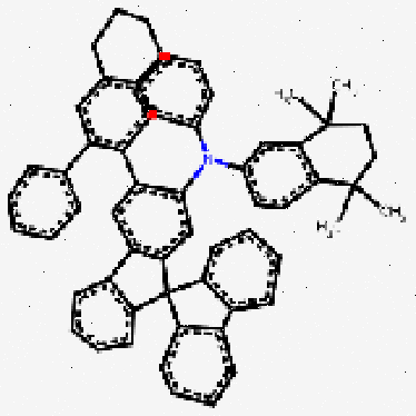 CC1(C)CCC(C)(C)c2cc(N(c3ccccc3)c3cc4c(cc3-c3cc5c(cc3-c3ccccc3)CCCC5)-c3ccccc3C43c4ccccc4-c4ccccc43)ccc21